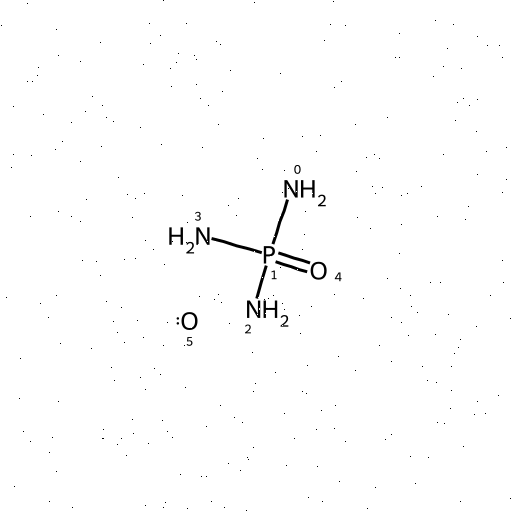 NP(N)(N)=O.[O]